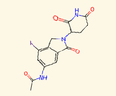 CC(=O)Nc1cc(I)c2c(c1)C(=O)N(C1CCC(=O)NC1=O)C2